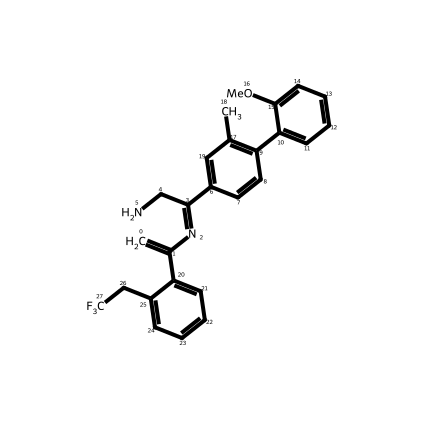 C=C(/N=C(\CN)c1ccc(-c2ccccc2OC)c(C)c1)c1ccccc1CC(F)(F)F